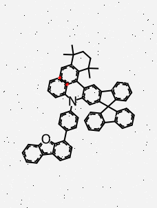 CC1(C)CCC(C)(C)c2c(-c3cc4c(cc3N(c3ccccc3)c3ccc(-c5cccc6c5oc5ccccc56)cc3)C3(c5ccccc5-c5ccccc53)c3ccccc3-4)cccc21